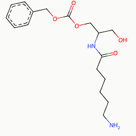 NCCCCCC(=O)NC(CO)COC(=O)OCc1ccccc1